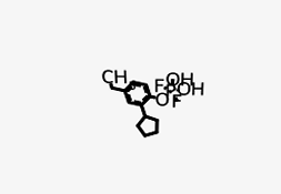 CCc1ccc(OP(O)(O)(F)F)c(C2CCCC2)c1